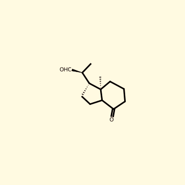 C[C@H](C=O)[C@H]1CCC2C(=O)CCC[C@@]21C